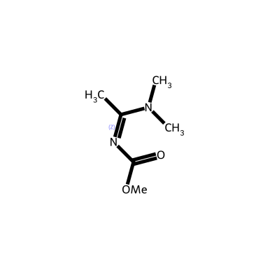 COC(=O)/N=C(/C)N(C)C